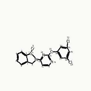 [O-][S+]1c2ccccc2CN1c1ccnc(Oc2cc(Cl)cc(Cl)c2)n1